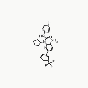 Nc1ccc(-c2cccc(C(F)(F)F)c2)nc1N(C(=O)Nc1ccc(F)cn1)C1CCCC1